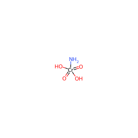 [NH2][Cr](=[O])(=[O])([OH])[OH]